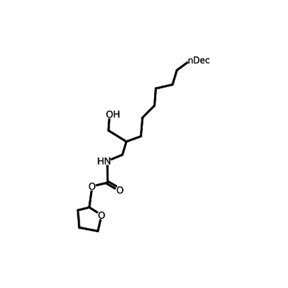 CCCCCCCCCCCCCCCCC(CO)CNC(=O)OC1CCCO1